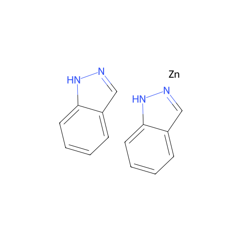 [Zn].c1ccc2[nH]ncc2c1.c1ccc2[nH]ncc2c1